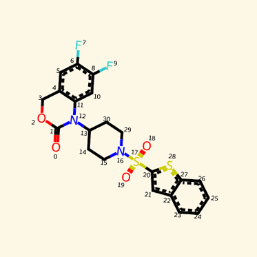 O=C1OCc2cc(F)c(F)cc2N1C1CCN(S(=O)(=O)c2cc3ccccc3s2)CC1